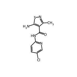 Cc1nsc(N)c1C(=O)Nc1ccc(Cl)cn1